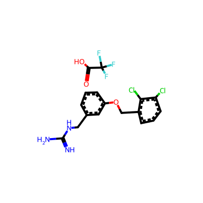 N=C(N)NCc1cccc(OCc2cccc(Cl)c2Cl)c1.O=C(O)C(F)(F)F